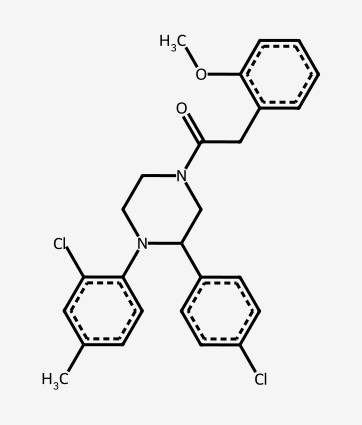 COc1ccccc1CC(=O)N1CCN(c2ccc(C)cc2Cl)C(c2ccc(Cl)cc2)C1